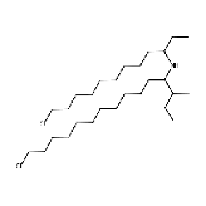 CCC(CCCCCCCCCCl)NC(CCCCCCCCCCCCl)C(C)CC